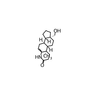 C[C@]12CCC(=O)NC1=CC[C@H]1[C@@H]3CCC[C@@]3(CO)CC[C@@H]12